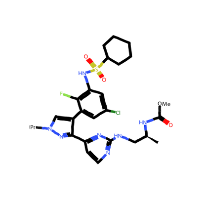 COC(=O)N[C@@H](C)CNc1nccc(-c2nn(C(C)C)cc2-c2cc(Cl)cc(NS(=O)(=O)C3CCCCC3)c2F)n1